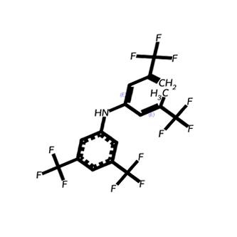 C=C(/C=C(\C=C(/C)C(F)(F)F)Nc1cc(C(F)(F)F)cc(C(F)(F)F)c1)C(F)(F)F